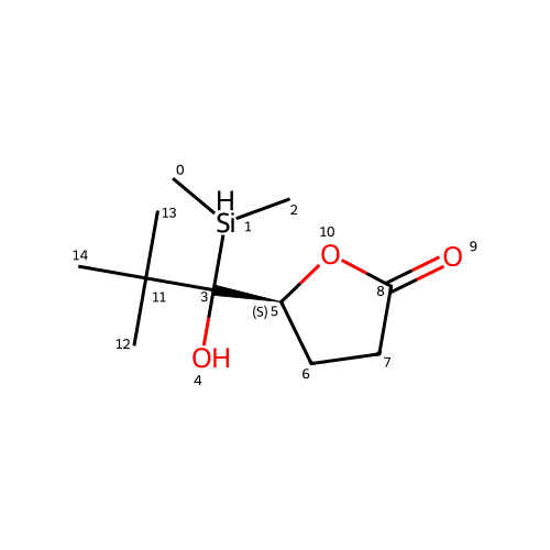 C[SiH](C)C(O)([C@@H]1CCC(=O)O1)C(C)(C)C